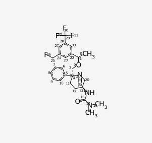 CC(OC[C@@]1(c2ccccc2)CC[C@H](NC(=O)N(C)C)CN1)c1cc(CF)cc(C(F)(F)F)c1